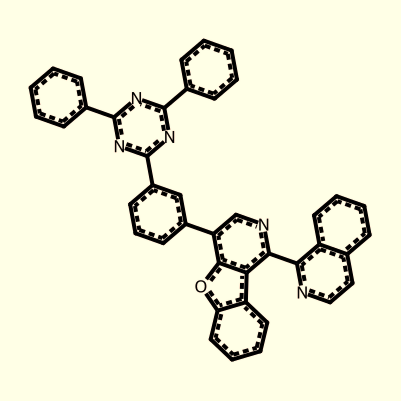 c1ccc(-c2nc(-c3ccccc3)nc(-c3cccc(-c4cnc(-c5nccc6ccccc56)c5c4oc4ccccc45)c3)n2)cc1